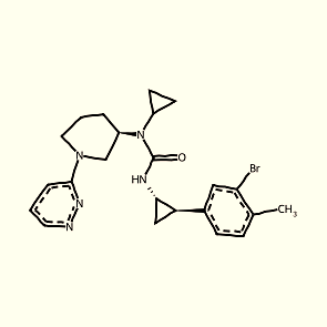 Cc1ccc([C@H]2C[C@@H]2NC(=O)N(C2CC2)[C@@H]2CCCN(c3cccnn3)C2)cc1Br